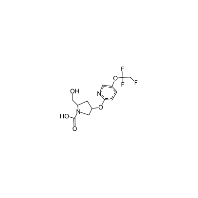 O=C(O)N1CC(Oc2ccc(OC(F)(F)CF)cn2)CC1CO